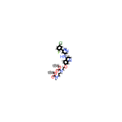 CN(CCCN(CCOc1ccc2c(Nc3cnnc(-c4cc(Cl)ccc4F)c3)ccnc2c1)C(=O)OC(C)(C)C)C(=O)OC(C)(C)C